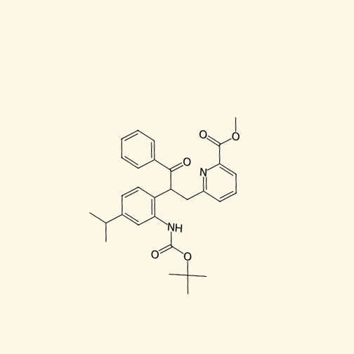 COC(=O)c1cccc(CC(C(=O)c2ccccc2)c2ccc(C(C)C)cc2NC(=O)OC(C)(C)C)n1